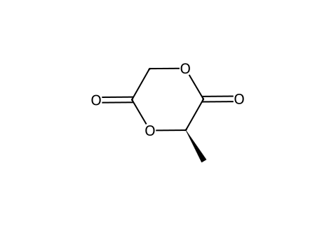 C[C@H]1OC(=O)COC1=O